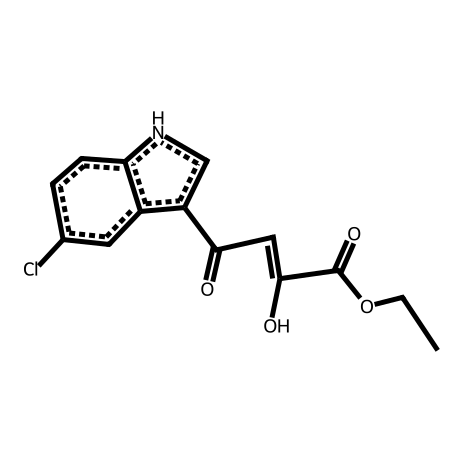 CCOC(=O)/C(O)=C/C(=O)c1c[nH]c2ccc(Cl)cc12